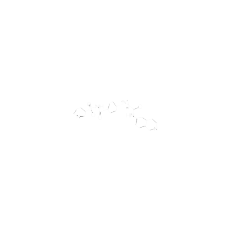 O=C(NS(=O)(=O)c1cccnc1)c1ccc([C@@H]2C[C@H]2C(=O)Nc2ccc3cnccc3c2)cc1